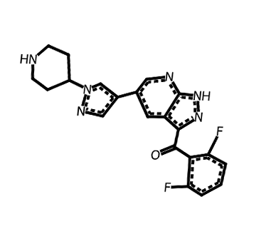 O=C(c1c(F)cccc1F)c1n[nH]c2ncc(-c3cnn(C4CCNCC4)c3)cc12